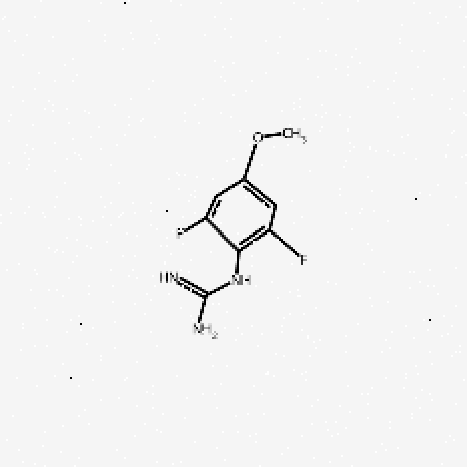 COc1cc(F)c(NC(=N)N)c(F)c1